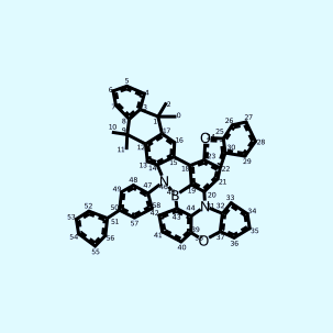 CC1(C)c2ccccc2C(C)(C)c2cc3c(cc21)-c1c2c(cc4c1oc1ccccc14)N1c4ccccc4Oc4cccc(c41)B2N3c1ccc(-c2ccccc2)cc1